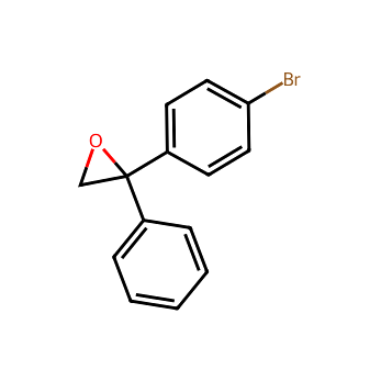 Brc1ccc(C2(c3ccccc3)CO2)cc1